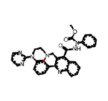 COC(=O)N(NC(=O)c1c(CN2CCN(c3ncccn3)CC2)c(-c2ccccc2)nc2ccccc12)c1ccccc1